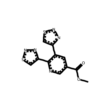 COC(=O)c1cnc(-c2csnn2)c(-c2csnn2)c1